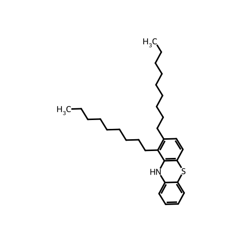 CCCCCCCCCc1ccc2c(c1CCCCCCCCC)Nc1ccccc1S2